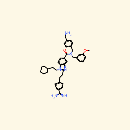 COc1cccc(CN(Cc2ccc(CN)cc2)C(=O)c2ccc3c(c2)nc(CCc2ccc(C(=N)N)cc2)n3CCC2CCCCC2)c1